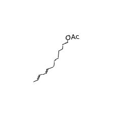 CC=CC=CCCCCCCCOC(C)=O